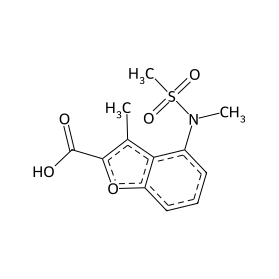 Cc1c(C(=O)O)oc2cccc(N(C)S(C)(=O)=O)c12